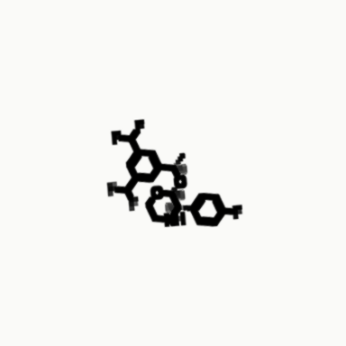 C[C@H](O[C@H]1OCCN[C@H]1c1ccc(F)cc1)c1cc(C(F)F)cc(C(F)F)c1